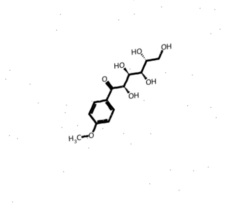 COc1ccc(C(=O)[C@H](O)[C@@H](O)[C@H](O)[C@H](O)CO)cc1